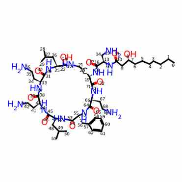 CCCCCCC[C@@H](O)CC(=O)N[C@H](CN)C(=O)N[C@H]1CCNC(O)[C@H](CC(C)C)NC(=O)[C@H](CCN)NC(=O)[C@H](CCN)NC(=O)[C@H](CC(C)C)NC(=O)[C@@H](Cc2ccccc2)NC(=O)[C@H](CCN)NC1=O